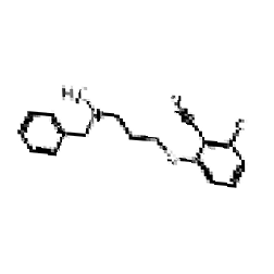 CN(CCCOc1cccc(Cl)c1C#N)Cc1ccccc1